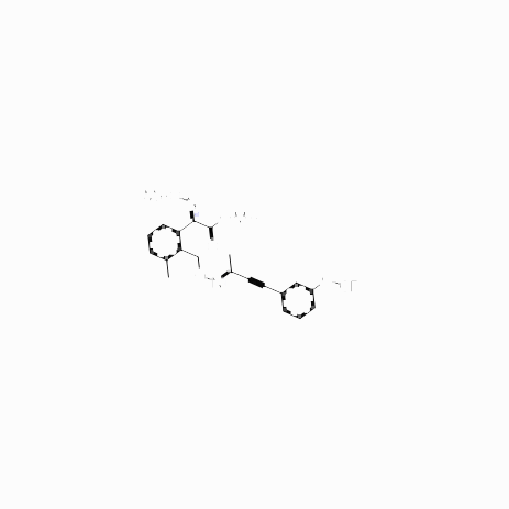 CO/N=C(/C(=O)OC)c1cccc(C)c1CO/N=C(\C)C#Cc1cccc(OC(F)(F)F)c1